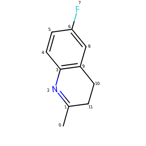 CC1=Nc2ccc(F)cc2CC1